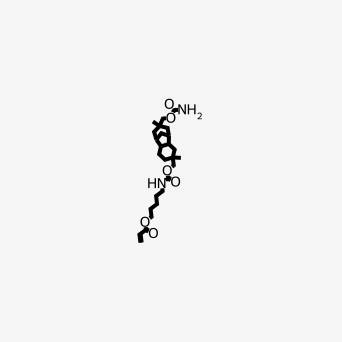 C=CC(=O)OCCCCCNC(=O)OCC1(C)CCC2C3CC(CC(C)(COC(N)=O)C3)C2C1